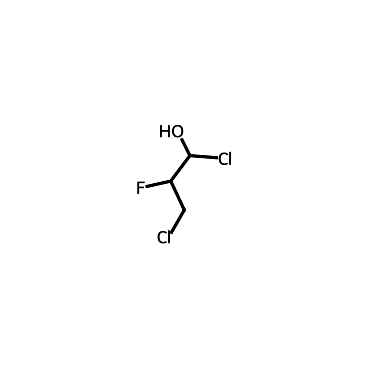 OC(Cl)C(F)CCl